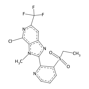 CCS(=O)(=O)c1cccnc1-c1nc2cc(C(F)(F)F)nc(Cl)c2n1C